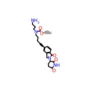 CC(C)(C)OC(=O)N(CCCN)CCCC#Cc1ccc2c(c1)CN(C1CCC(=O)NC1=O)C2=O